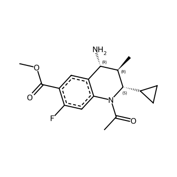 COC(=O)c1cc2c(cc1F)N(C(C)=O)[C@@H](C1CC1)[C@H](C)[C@H]2N